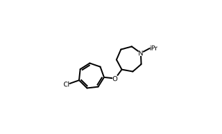 CC(C)N1CCCC(OC2=CC=C(Cl)C=CC2)CC1